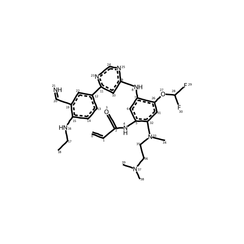 C=CC(=O)Nc1cc(Nc2cc(-c3ccc(NCC)c(C=N)c3)ncn2)c(OC(F)F)cc1N(C)CCN(C)C